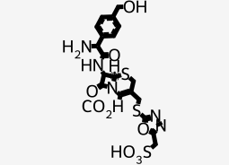 NC(C(=O)NC1C(=O)N2C(C(=O)O)=C(CSc3nnc(CS(=O)(=O)O)o3)CS[C@H]12)c1ccc(CO)cc1